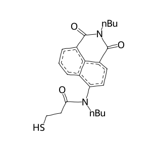 CCCCN1C(=O)c2cccc3c(N(CCCC)C(=O)CCS)ccc(c23)C1=O